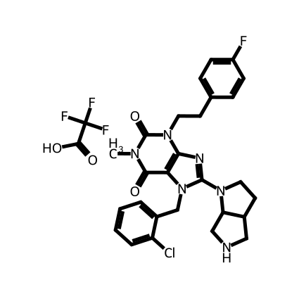 Cn1c(=O)c2c(nc(N3CCC4CNCC43)n2Cc2ccccc2Cl)n(CCc2ccc(F)cc2)c1=O.O=C(O)C(F)(F)F